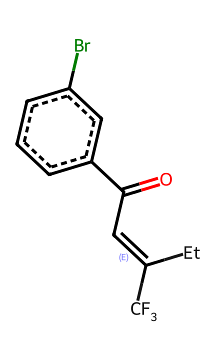 CC/C(=C\C(=O)c1cccc(Br)c1)C(F)(F)F